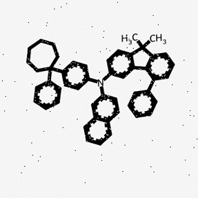 CC1(C)c2ccc(N(c3ccc(C4(c5ccccc5)CCCCCC4)cc3)c3ccc4ccccc4c3)cc2-c2c(-c3ccccc3)cccc21